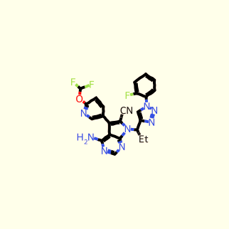 CCC(c1cn(-c2ccccc2F)nn1)n1c(C#N)c(-c2ccc(OC(F)F)nc2)c2c(N)ncnc21